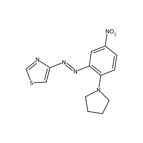 O=[N+]([O-])c1ccc(N2CCCC2)c(N=Nc2cscn2)c1